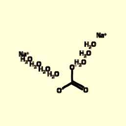 O.O.O.O.O.O.O.O=C([O-])[O-].[Na+].[Na+]